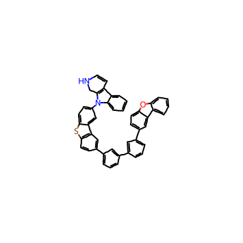 C1=Cc2c(n(-c3ccc4sc5ccc(-c6cccc(-c7cccc(-c8ccc9oc%10ccccc%10c9c8)c7)c6)cc5c4c3)c3ccccc23)CN1